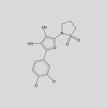 O=S1(=O)CCCN1c1oc(-c2ccc(Cl)c(Cl)c2)c(O)c1O